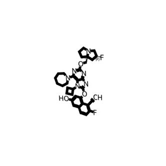 C#Cc1c(F)ccc2cc(O)cc(Oc3nc4nc(OC[C@@]56CCCN5C[C@H](F)C6)nc(N5CCCCCC5)c4n3C3CCC3)c12